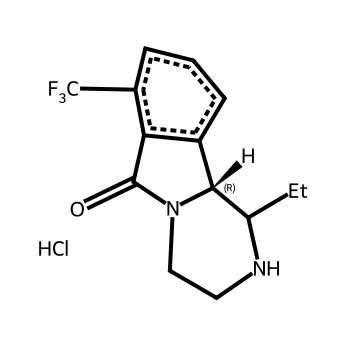 CCC1NCCN2C(=O)c3c(cccc3C(F)(F)F)[C@H]12.Cl